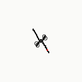 CCCCCCCCCCCCc1cc(C=CC(=O)OC)c(CCCCCCCCCCCC)cc1C=CC(=O)OC